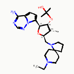 C[C@H]1[C@@H](OC(C)(C)O)[C@H](c2ccc3c(N)ncnn23)O[C@@H]1CN1CCCC12CCN(CC(F)(F)F)CC2